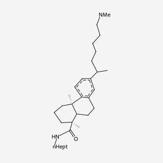 CCCCCCCNC(=O)[C@@]1(C)CCC[C@@]2(C)c3ccc(C(C)CCCCCNC)cc3CCC21